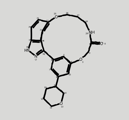 O=C1COc2cc(cc(C3CCCOC3)c2)-c2n[nH]c3ccc(cc23)OCCCN1